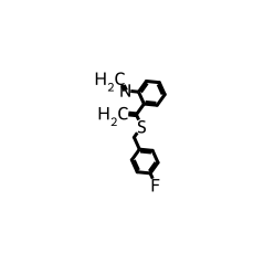 C=Nc1ccccc1C(=C)SCc1ccc(F)cc1